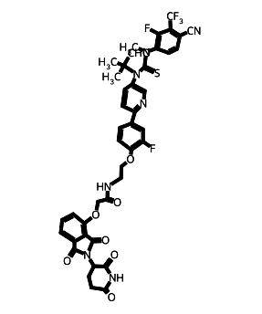 CN(C(=S)N(c1ccc(-c2ccc(OCCNC(=O)COc3cccc4c3C(=O)N(C3CCC(=O)NC3=O)C4=O)c(F)c2)nc1)C(C)(C)C=O)c1ccc(C#N)c(C(F)(F)F)c1F